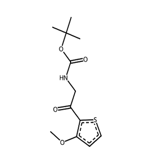 COc1ccsc1C(=O)CNC(=O)OC(C)(C)C